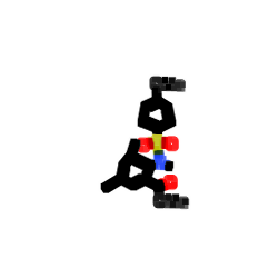 COC(=O)c1cc(C)cc(C)c1N(C)S(=O)(=O)c1ccc(OC)cc1